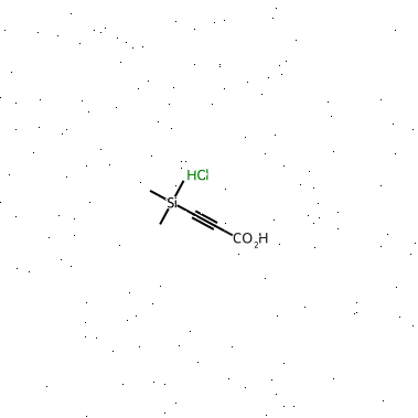 C[Si](C)(C)C#CC(=O)O.Cl